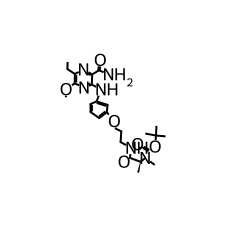 CCc1nc(C(N)=O)c(Nc2cccc(OCCCNC(=O)[C@H](C)N(C)C(=O)OC(C)(C)C)c2)nc1OC